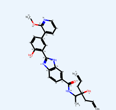 C=CCC(O)(CC=C)C(C)NC(=O)c1ccc2nc(-c3cc(-c4cccnc4OC)ccc3O)[nH]c2c1